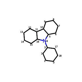 C1CCC(N2C3CCCCC3C3CCCCC32)CC1